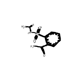 NC(=O)NS(=O)(=O)c1ccccc1C(N)=O